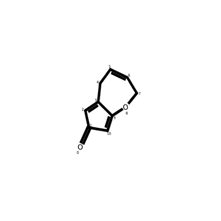 O=C1C=C2CC=CCOC2=C1